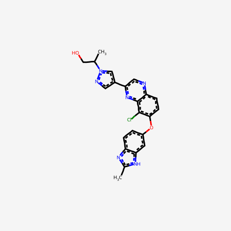 Cc1nc2ccc(Oc3ccc4ncc(-c5cnn(C(C)CO)c5)nc4c3Cl)cc2[nH]1